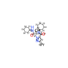 CC(C)c1cc2n(n1)CC(C)(C(=O)NC1CCCCC1)N(C1CCCCCC1)C2=O